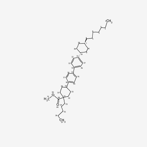 CCCCCCC[C@H]1CC[C@H](c2ccc(-c3ccc(C4CCC(CCCCC)(C(=O)OC)CC4)cc3)cc2)CC1